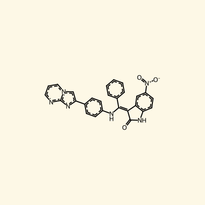 O=C1Nc2ccc([N+](=O)[O-])cc2/C1=C(/Nc1ccc(-c2cn3cccnc3n2)cc1)c1ccccc1